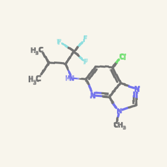 CC(C)C(Nc1cc(Cl)c2ncn(C)c2n1)C(F)(F)F